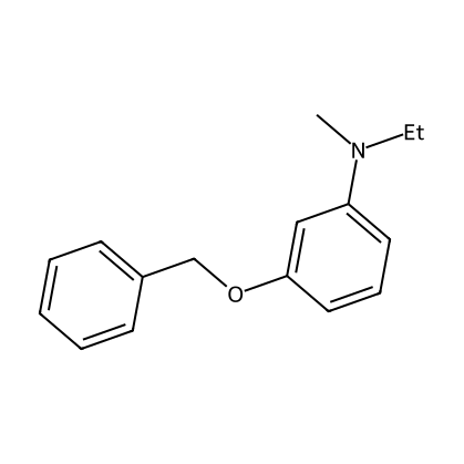 CCN(C)c1cccc(OCc2ccccc2)c1